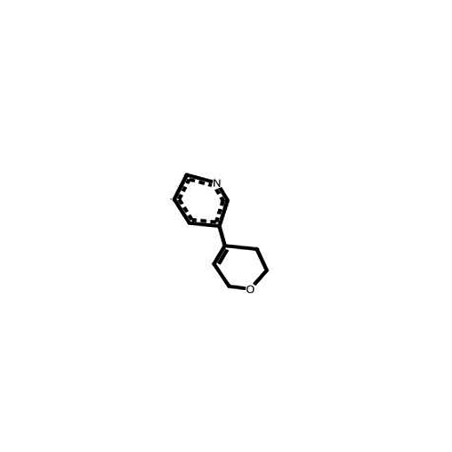 [c]1cncc(C2=CCOCC2)c1